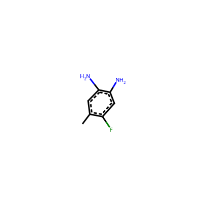 Cc1cc(N)c(N)cc1F